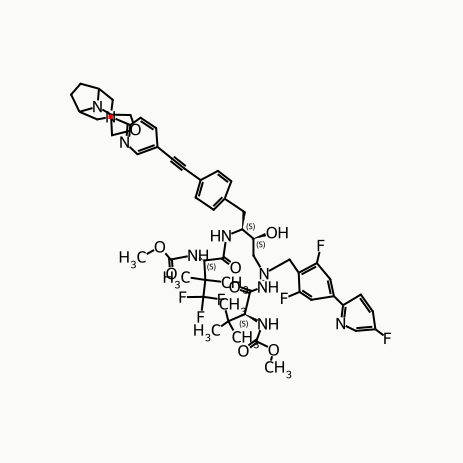 COC(=O)N[C@H](C(=O)NN(Cc1c(F)cc(-c2ccc(F)cn2)cc1F)C[C@H](O)[C@H](Cc1ccc(C#Cc2ccc(N3CC4CCC(C3)N4C3COC3)nc2)cc1)NC(=O)[C@@H](NC(=O)OC)C(C)(C)C(F)(F)F)C(C)(C)C